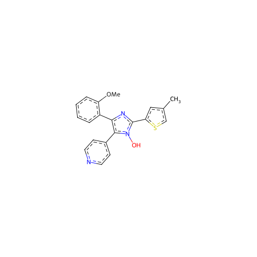 COc1ccccc1-c1nc(-c2cc(C)cs2)n(O)c1-c1ccncc1